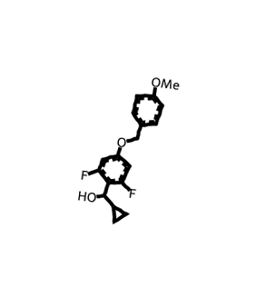 COc1ccc(COc2cc(F)c(C(O)C3CC3)c(F)c2)cc1